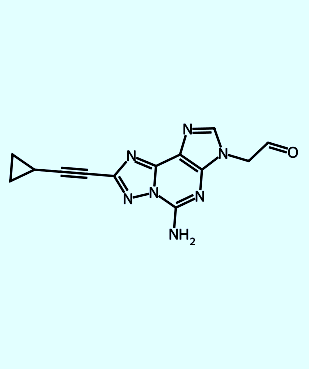 Nc1nc2c(ncn2CC=O)c2nc(C#CC3CC3)nn12